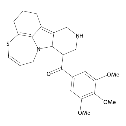 COc1cc(C(=O)C2CNCC3=C4CCCC5=C4N(CC=CS5)C32)cc(OC)c1OC